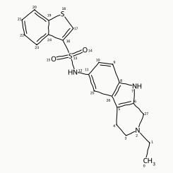 CCN1CCc2c([nH]c3ccc(NS(=O)(=O)c4csc5ccccc45)cc23)C1